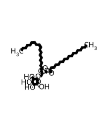 CCCCC/C=C\C/C=C\CCCCCCCC(=O)O[C@H](COC(=O)CCCCCCCCCCCCCCCCC)CO[C@@H]1O[C@H](CO)[C@H](O)C(O)C1O